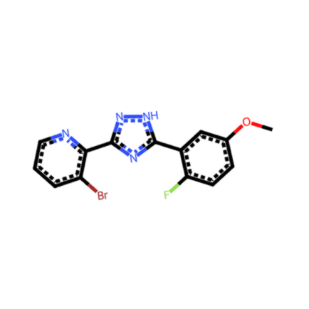 COc1ccc(F)c(-c2nc(-c3ncccc3Br)n[nH]2)c1